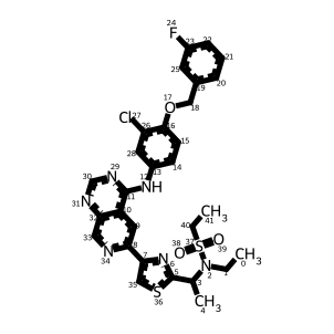 CCN(C(C)c1nc(-c2cc3c(Nc4ccc(OCc5cccc(F)c5)c(Cl)c4)ncnc3cn2)cs1)S(=O)(=O)CC